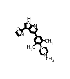 Cc1cc(-c2cnc3[nH]cc(-c4n[c]co4)c3c2)cc(C)c1N1CCN(C)CC1